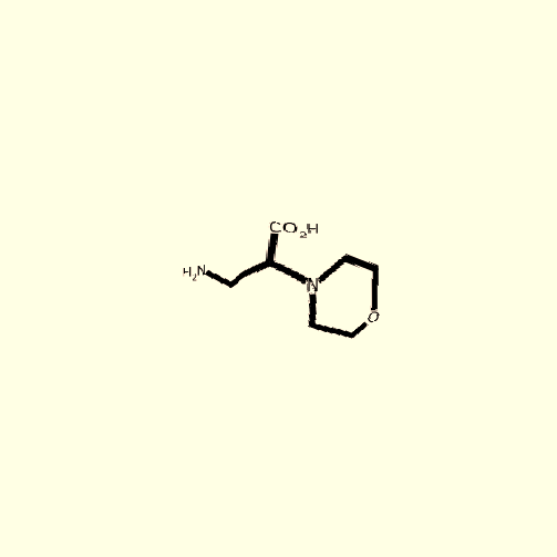 NCC(C(=O)O)N1CCOCC1